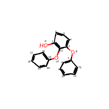 Oc1cccc(Oc2ccccc2)c1Oc1ccccc1